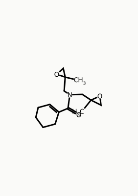 CC1(CN(CC2(C)CO2)C(=O)C2=CCCCC2)CO1